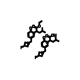 CC(C)CC(C(=O)O)n1cc(CN2CC(F)C2)ccc1=O.CCOC(=O)C(CC(C)C)n1cc(CN2CC(F)C2)ccc1=O